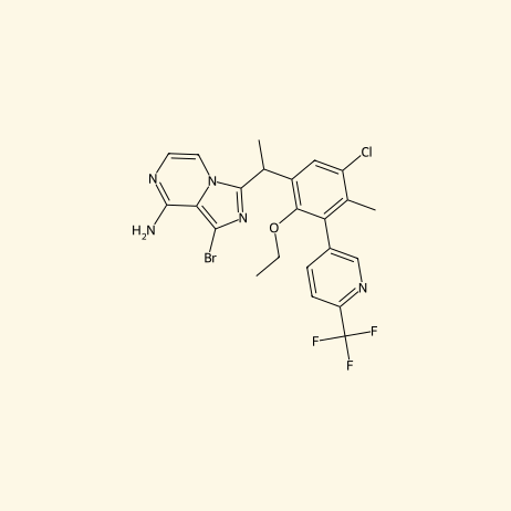 CCOc1c(C(C)c2nc(Br)c3c(N)nccn23)cc(Cl)c(C)c1-c1ccc(C(F)(F)F)nc1